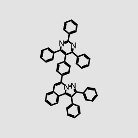 c1ccc(-c2nc(-c3ccccc3)c(-c3ccc(-c4cc5ccccc5c5c(-c6ccccc6)c(-c6ccccc6)nn45)cc3)c(-c3ccccc3)n2)cc1